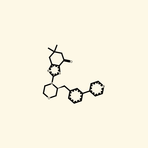 CC1(C)CC(=O)c2sc(N3CCOC[C@@H]3Cc3cccc(-c4ccncc4)c3)nc2C1